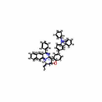 C\C=C/C=c1/oc2ccc(-c3ccc4c(c3)c3ccccc3n4-c3ccccc3)cc2/c1=C1\N=C(c2ccccc2)c2cc3ccccc3cc2N1C